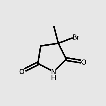 CC1(Br)CC(=O)NC1=O